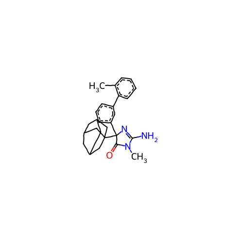 Cc1ccccc1-c1cccc(C2(C34CC5CC(CC(C5)C3)C4)N=C(N)N(C)C2=O)c1